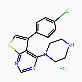 Cl.Clc1ccc(-c2csc3ncnc(N4CCNCC4)c23)cc1